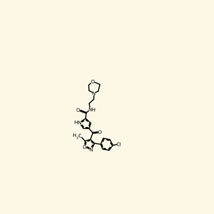 Cc1onc(-c2ccc(Cl)cc2)c1C(=O)c1c[nH]c(C(=O)NCCN2CCOCC2)c1